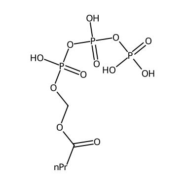 CCCC(=O)OCOP(=O)(O)OP(=O)(O)OP(=O)(O)O